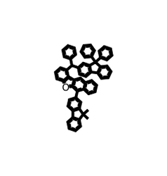 CC1(C)c2ccccc2-c2ccc(-c3c4ccccc4cc4c3oc3cccc(C(c5ccccc5)c5ccc6c(c5)C(c5ccccc5)(c5ccccc5)c5ccccc5-6)c34)cc21